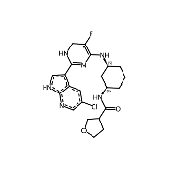 O=C(N[C@@H]1CCC[C@H](NC2=C(F)CNC(c3c[nH]c4ncc(Cl)cc34)=N2)C1)C1CCOC1